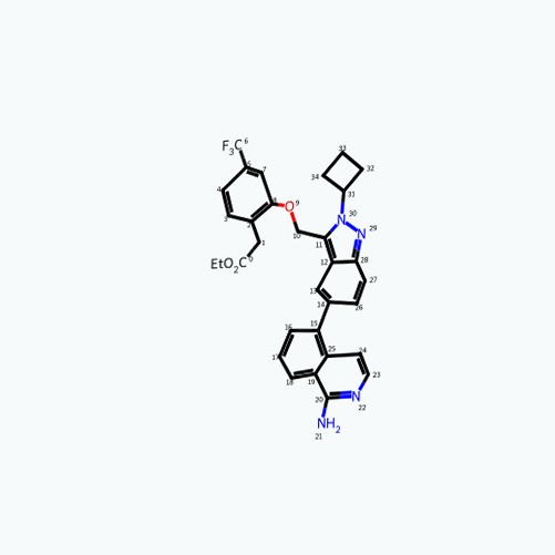 CCOC(=O)Cc1ccc(C(F)(F)F)cc1OCc1c2cc(-c3cccc4c(N)nccc34)ccc2nn1C1CCC1